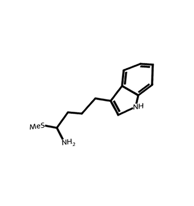 CSC(N)CCCc1c[nH]c2ccccc12